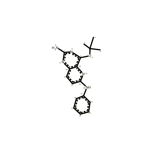 CC(C)(C)Oc1nc(N)nc2ccc(Nc3ccccc3)nc12